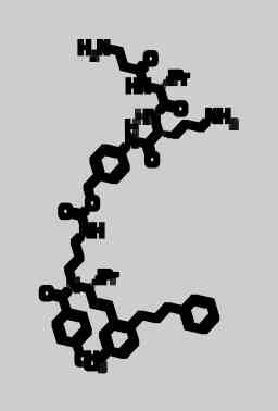 Cc1ccc(C(=O)N(CCCNC(=O)OCc2ccc(NC(=O)[C@@H](CCCN)NC(=O)[C@H](NC(=O)CCN)C(C)C)cc2)[C@@H](/C=C/c2cc(Cl)ccc2CCCc2ccccc2)C(C)C)cc1